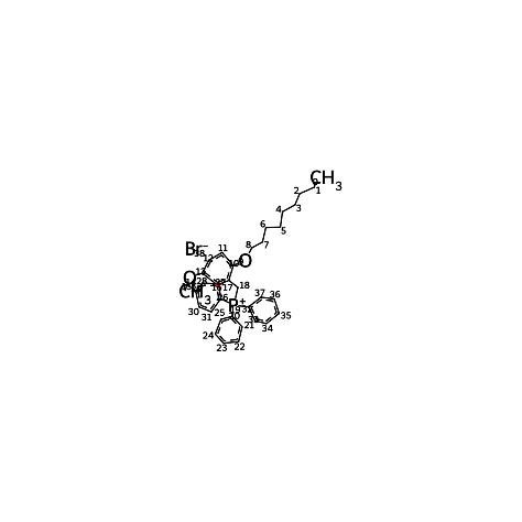 CCCCCCCCCOc1ccc(OC)cc1C[P+](c1ccccc1)(c1ccccc1)c1ccccc1.[Br-]